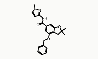 Cn1ccc(NC(=O)c2cc(OCc3ccccc3)c3c(c2)OC(C)(C)C3)n1